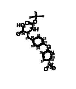 CC(C)(C)OC(=O)N[C@@H](Cc1ccc(Oc2ccc([N+](=O)[O-])cn2)cc1)C(=O)O